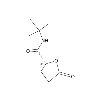 CC(C)(C)NC(=O)[C@H]1CCC(=O)O1